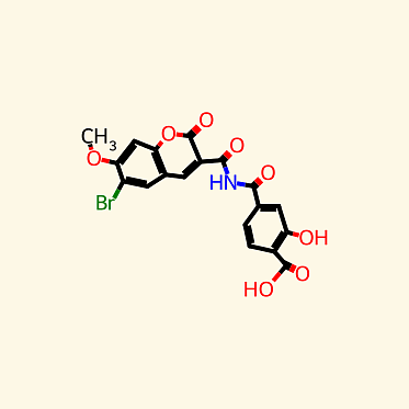 COc1cc2oc(=O)c(C(=O)NC(=O)c3ccc(C(=O)O)c(O)c3)cc2cc1Br